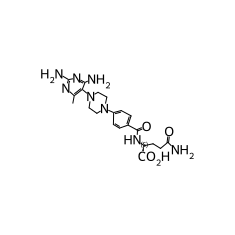 Cc1nc(N)nc(N)c1N1CCN(c2ccc(C(=O)N[C@@H](CCC(N)=O)C(=O)O)cc2)CC1